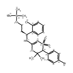 CC1(C)OC(N[C@@H](CCO[Si](C)(C)C(C)(C)C)c2ccccc2Cl)=NS(=O)(=O)C1c1ccc(Br)cc1